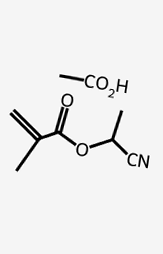 C=C(C)C(=O)OC(C)C#N.CC(=O)O